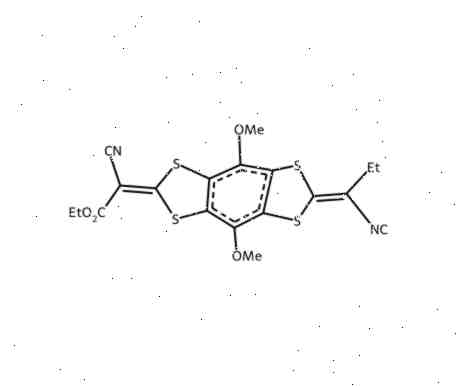 [C-]#[N+]C(CC)=C1Sc2c(OC)c3c(c(OC)c2S1)SC(=C(C#N)C(=O)OCC)S3